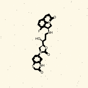 O=C1CSc2ccc(N3C[C@@H]([C@@H](O)CCN[C@@H]4Cn5c(=O)ccc6ccc(F)c4c65)OC3=O)cc2N1